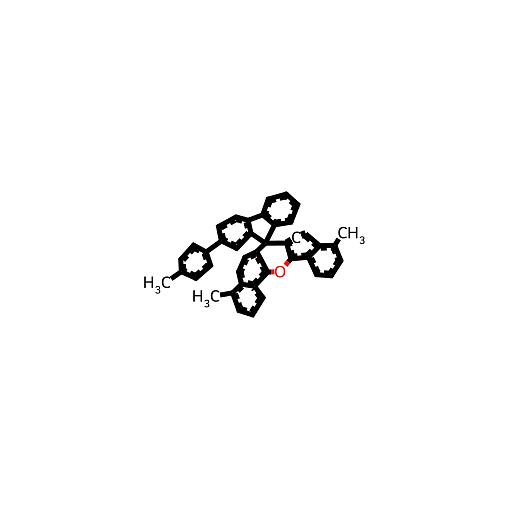 Cc1ccc(-c2ccc3c(c2)C2(c4ccccc4-3)c3ccc4c(C)cccc4c3Oc3c2ccc2c(C)cccc32)cc1